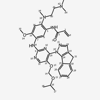 C=CC(=O)Nc1cc(Nc2ncc(OCOC(C)C)c(-n3ncc4c3-c3ccccc3C4)n2)c(OC)cc1N(C)CCN(C)C